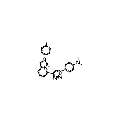 Cc1ccc(-n2cc3cccc(-c4cn(-c5ccc(N(C)C)cc5)nn4)[n+]3c2)cc1